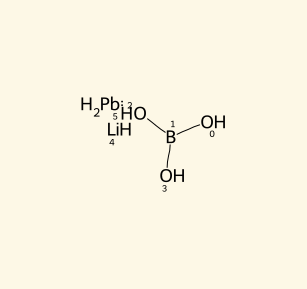 OB(O)O.[LiH].[PbH2]